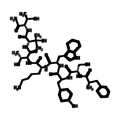 C[C@@H](O)[C@H](NC(=O)[C@@H](NC(=O)[C@@H](NC(=O)[C@H](CCCCN)NC(=O)[C@@H](Cc1c[nH]c2ccccc12)NC(=O)[C@H](Cc1ccc(O)cc1)NC(=O)[C@H](CS)NC(=O)[C@H](N)Cc1ccccc1)[C@@H](C)O)C(C)(C)S)C(N)=O